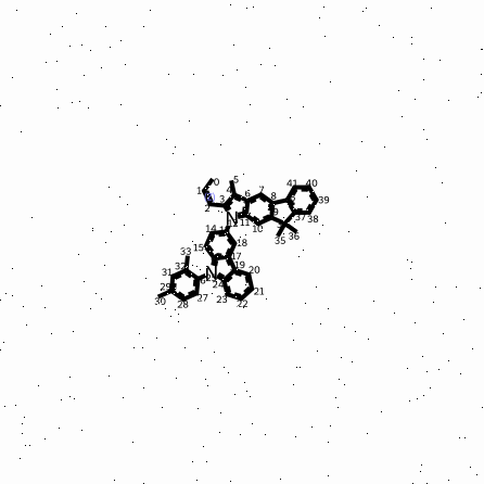 C/C=C\c1c(C)c2cc3c(cc2n1-c1ccc2c(c1)c1ccccc1n2-c1ccc(C)cc1C)C(C)(C)c1ccccc1-3